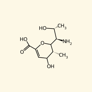 C[C@@H]1C(O)C=C(C(=O)O)OC1[C@H](N)[C@@H](C)O